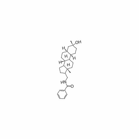 C[C@@]1(O)CC[C@H]2[C@H](CC[C@@H]3[C@@H]2CC[C@]2(C)C(CNC(=O)c4ccccc4)CC[C@@H]32)C1